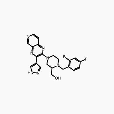 OCC1CN(c2nc3ccncc3nc2-c2cn[nH]c2)CCN1Cc1ccc(F)cc1F